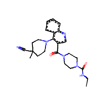 CCNC(=O)N1CCN(C(=O)c2cnc3ccccc3c2N2CCC(C)(C#N)CC2)CC1